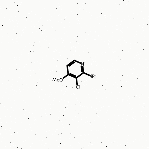 COc1ccnc(C(C)C)c1Cl